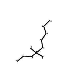 CC[CH]C(C)(C)CCCCC